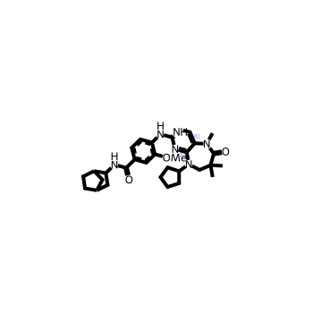 C/C=C1\C(=N/C(=N)Nc2ccc(C(=O)NC3CC4CCC3C4)cc2OC)N(C2CCCC2)CC(C)(C)C(=O)N1C